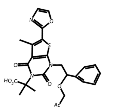 CC(=O)COC(Cn1c(=O)n(C(C)(C)C(=O)O)c(=O)c2c(C)c(-c3ncco3)sc21)c1ccccc1